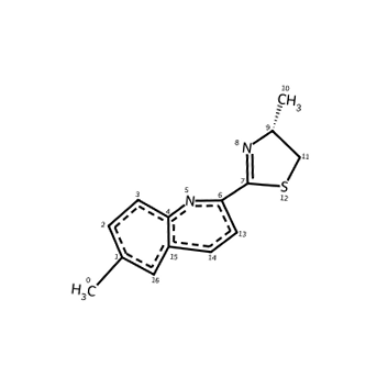 Cc1ccc2nc(C3=N[C@H](C)CS3)ccc2c1